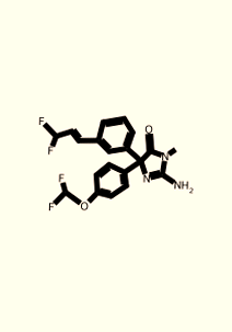 CN1C(=O)C(c2ccc(OC(F)F)cc2)(c2cccc(C=CC(F)F)c2)N=C1N